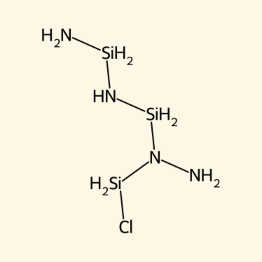 N[SiH2]N[SiH2]N(N)[SiH2]Cl